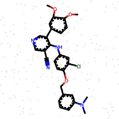 COc1ccc(-c2cncc(C#N)c2Nc2ccc(OCc3cccc(N(C)C)c3)c(Cl)c2)cc1OC